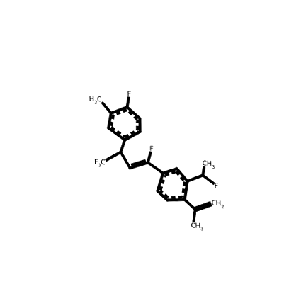 C=C(C)c1ccc(/C(F)=C/C(c2ccc(F)c(C)c2)C(F)(F)F)cc1C(C)F